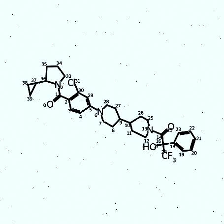 O=C(c1ccc(N2CCC(C3CCN(C(=O)C(O)(c4ccccc4)C(F)(F)F)CC3)CC2)cc1Cl)N1CCCC1C1CC1